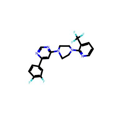 Fc1ccc(-c2cc(N3CCN(c4ncccc4C(F)(F)F)CC3)ncn2)cc1F